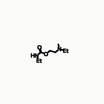 CCNC(=O)OCCN(C)CC